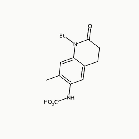 CCN1C(=O)CCc2cc(NC(=O)O)c(C)cc21